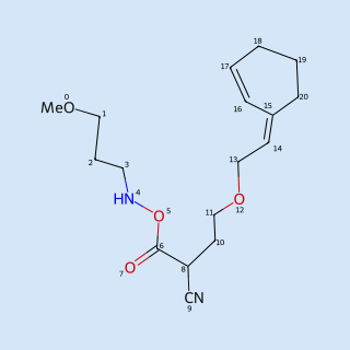 COCCCNOC(=O)C(C#N)CCOCC=C1C=CCCC1